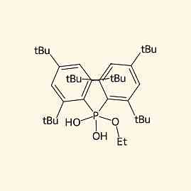 CCOP(O)(O)(c1c(C(C)(C)C)cc(C(C)(C)C)cc1C(C)(C)C)c1c(C(C)(C)C)cc(C(C)(C)C)cc1C(C)(C)C